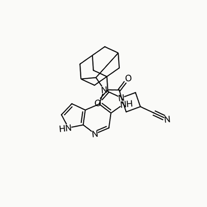 N#CC1CN(C(=O)C23CC4CC(C2)C(n2c(=O)[nH]c5cnc6[nH]ccc6c52)C(C4)C3)C1